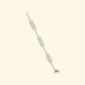 CC#CC#CC#CS